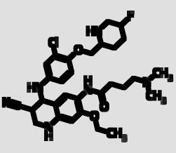 CCOc1cc2c(cc1NC(=O)CCCN(C)C)C(Nc1ccc(OCC3CCC(F)CN3)c(Cl)c1)C(C#N)CN2